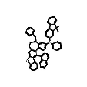 CC1(C)c2ccccc2-c2ccc(N(c3ccccc3)c3ccc4c(c3)C(Cc3ccccc3)CCc3cc5oc6ccccc6c5c(-c5cccc6ccccc56)c3-4)cc21